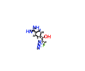 [N-]=[N+]=N[C@H](CF)[C@H](O)c1ccc(C(=N)N)cc1